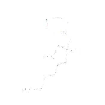 CCCCCCC(C)(CC)CN1CCOCC1